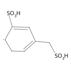 O=S(=O)(O)CC1=CC[CH]C(S(=O)(=O)O)=C1